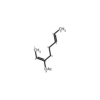 CC=CCCC(=CC)OC(C)=O